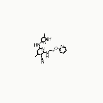 Cc1cc(Nc2cc(C)c(C#N)c(NCCOc3ccccn3)n2)n[nH]1